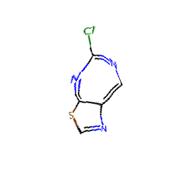 Clc1ncc2ncsc2n1